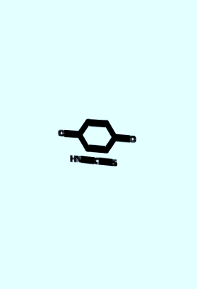 N=C=S.O=C1C=CC(=O)C=C1